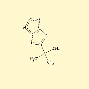 CC(C)(C)c1cc2ncsc2s1